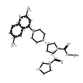 CC(C)(C)OC(=O)N1C[C@@H](N2CCN(c3cc(C(F)(F)F)nc4ccc(C(F)(F)F)cc34)CC2)C[C@H]1C(=O)N1CCSC1